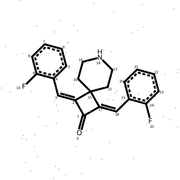 O=C1/C(=C/c2ccccc2F)C2(CCNCC2)/C1=C\c1ccccc1F